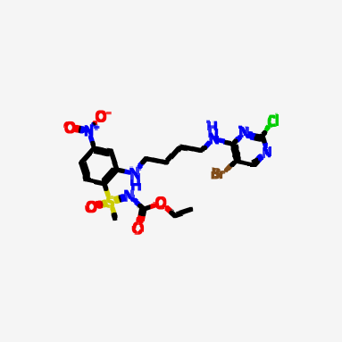 CCOC(=O)N=S(C)(=O)c1ccc([N+](=O)[O-])cc1NCCCCNc1nc(Cl)ncc1Br